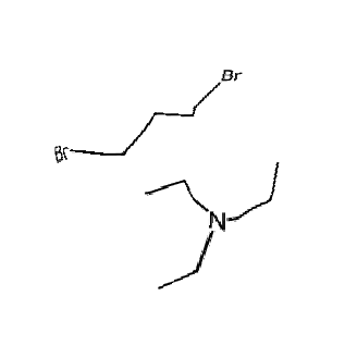 BrCCCBr.CCN(CC)CC